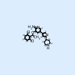 CC(Oc1cc(-c2cnn(C3CCNCC3)c2)cnc1N)c1c(Cl)cccc1Cl